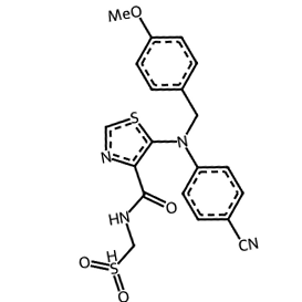 COc1ccc(CN(c2ccc(C#N)cc2)c2scnc2C(=O)NC[SH](=O)=O)cc1